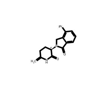 C=C1CC[C@@H](N2Cc3c(cccc3C(C)C)C2=O)C(=O)N1